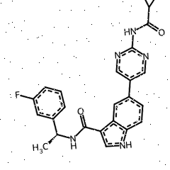 C[C@H](NC(=O)c1c[nH]c2ccc(-c3cnc(NC(=O)C4CC4)nc3)cc12)c1cccc(F)c1